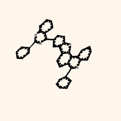 c1ccc(-c2nc(-c3ccc4sc5c(ccc6c(-c7ccccc7)nc7ccccc7c65)c4c3)c3ccccc3n2)cc1